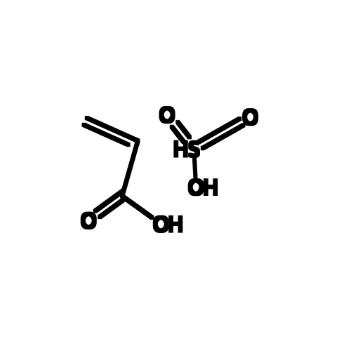 C=CC(=O)O.O=[SH](=O)O